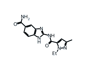 CCn1nc(C)cc1C(=O)Nc1nc2cc(C(N)=O)ccc2[nH]1